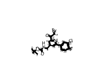 CC(C)(C)OC(=O)NCc1cc(C(=O)CBr)nc(-c2ccc(F)c(Cl)c2)c1